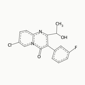 CC(O)c1nc2ccc(Cl)cn2c(=O)c1-c1cccc(F)c1